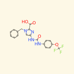 O=C(Nc1ccc(OC(F)(F)F)cc1)Nc1cn(Cc2ccccc2)c(C(=O)O)n1